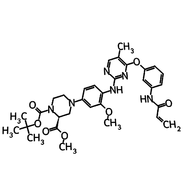 C=CC(=O)Nc1cccc(Oc2nc(Nc3ccc(N4CCN(C(=O)OC(C)(C)C)[C@H](C(=O)OC)C4)cc3OC)ncc2C)c1